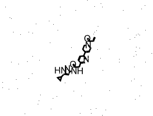 C=CC(=O)N1CC=C(c2ccc(CC(=O)Nc3cc(C4CC4)[nH]n3)cn2)CC1